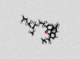 CC(=O)O[C@@H](CC(=O)OCC(C)C)C(=O)O[C@@H](C)C(=O)OC1=CC[C@@]2(O)C3Cc4ccc(C(=O)OC(C)(C)C)c5c4[C@@]2(CCN3C)[C@H]1O5